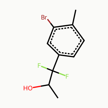 Cc1ccc(C(F)(F)C(C)O)cc1Br